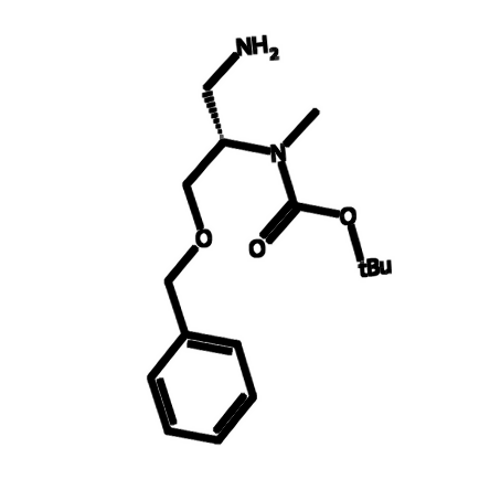 CN(C(=O)OC(C)(C)C)[C@@H](CN)COCc1ccccc1